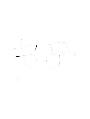 CC(C)(C)[Si](C)(C)[C@@]1(O)[C@@H](CO)O[C@@H](n2cnc3c(N)ncnc32)[C@@H]1F